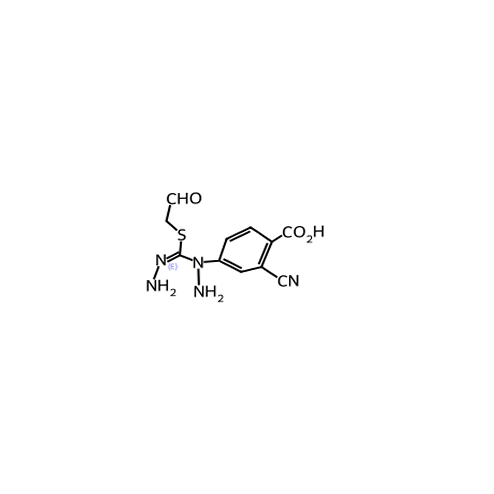 N#Cc1cc(N(N)/C(=N\N)SCC=O)ccc1C(=O)O